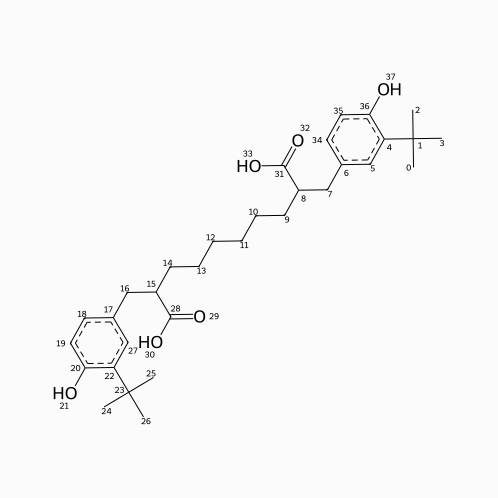 CC(C)(C)c1cc(CC(CCCCCCC(Cc2ccc(O)c(C(C)(C)C)c2)C(=O)O)C(=O)O)ccc1O